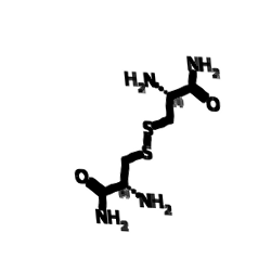 NC(=O)[C@@H](N)CSSC[C@H](N)C(N)=O